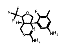 Cc1cc(N)cc([C@]23CO[C@H](C(F)(F)F)[C@H]2CSC(N)=N3)c1F